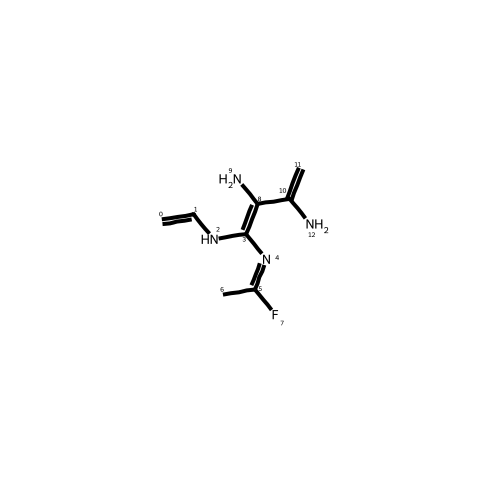 C=CNC(/N=C(\C)F)=C(\N)C(=C)N